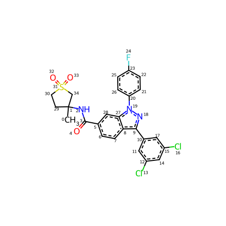 CC1(NC(=O)c2ccc3c(-c4cc(Cl)cc(Cl)c4)nn(-c4ccc(F)cc4)c3c2)CCS(=O)(=O)C1